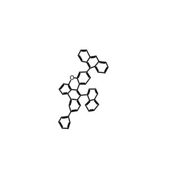 c1ccc(-c2ccc3c(-c4cccc5ccccc45)c4c5c(cccc5c3c2)Oc2cc(-c3c5ccccc5cc5ccccc35)ccc2-4)cc1